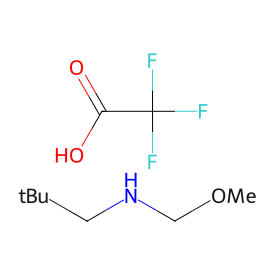 COCNCC(C)(C)C.O=C(O)C(F)(F)F